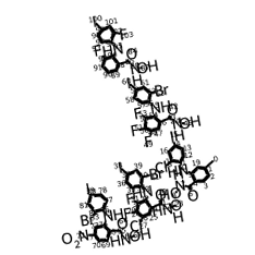 Cc1ccc(C(=O)NO)c(Nc2ccc(I)cc2Cl)c1.O=C(NO)c1cc(Cl)c(F)c(F)c1Nc1ccc(I)cc1Br.O=C(NO)c1cc(F)c(F)c(F)c1Nc1ccc(I)cc1Br.O=C(NO)c1ccc([N+](=O)[O-])cc1Nc1ccc(I)cc1Br.O=C(NO)c1cccc(F)c1Nc1ccc(I)cc1F